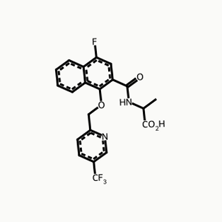 CC(NC(=O)c1cc(F)c2ccccc2c1OCc1ccc(C(F)(F)F)cn1)C(=O)O